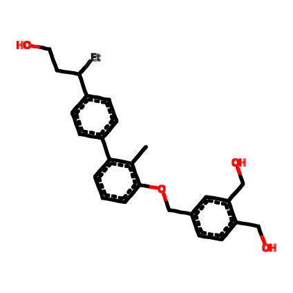 CCC(CCO)c1ccc(-c2cccc(OCc3ccc(CO)c(CO)c3)c2C)cc1